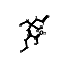 C=CCC(C=C(CCC)C(C)=O)(CC)CC